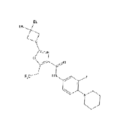 CCC1(CC)CN(c2nc(C(=O)Nc3ccc(N4CCCCC4)c(F)c3)c(CC(F)(F)F)o2)C1